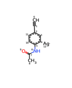 C#Cc1ccc(NC(C)=O)cc1.[Ag]